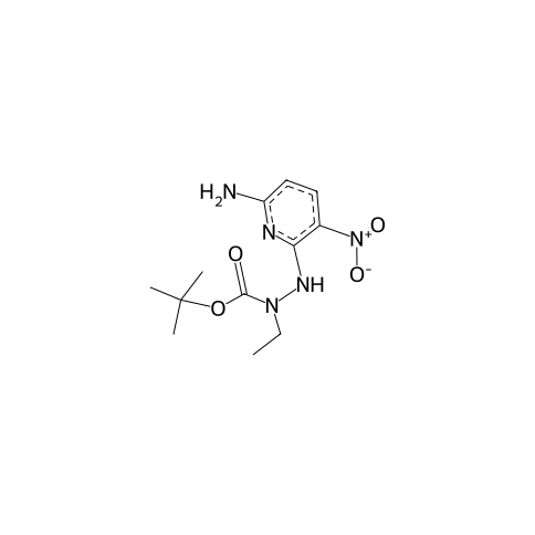 CCN(Nc1nc(N)ccc1[N+](=O)[O-])C(=O)OC(C)(C)C